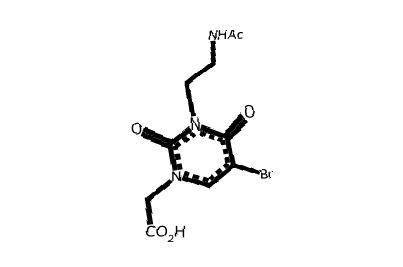 CC(=O)NCCn1c(=O)c(Br)cn(CC(=O)O)c1=O